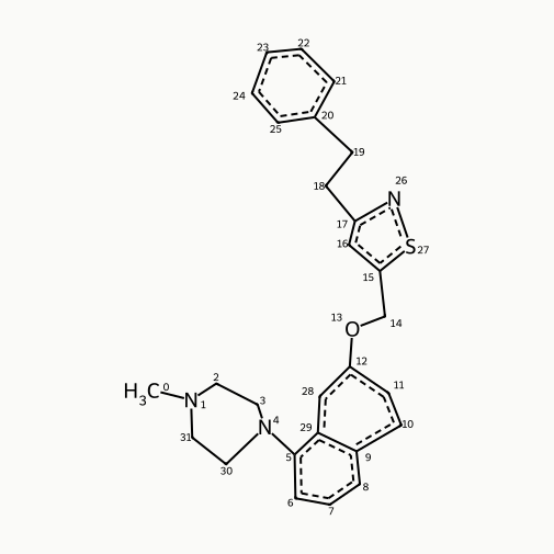 CN1CCN(c2cccc3ccc(OCc4cc(CCc5ccccc5)ns4)cc23)CC1